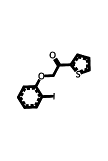 O=C(COc1ccccc1I)c1cccs1